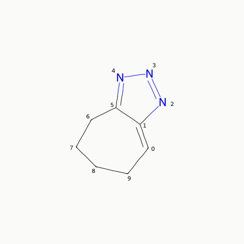 C1=C2N=NN=C2CCCC1